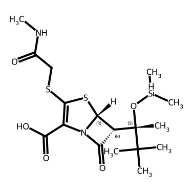 CNC(=O)CSC1=C(C(=O)O)N2C(=O)[C@@H]([C@](C)(O[SiH](C)C)C(C)(C)C)[C@H]2S1